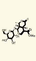 COC(=O)C1=CO[C@@H](O[C@@H]2O[C@H](CO)[C@@H](O)[C@H](O)[C@H]2O)[C@@H]2[C@H](C)OC(=O)C[C@H]12